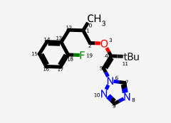 CC(COC(=Cn1cncn1)C(C)(C)C)Cc1ccccc1F